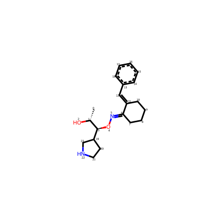 C[C@@H](O)[C@@H](O/N=C1\CCCC\C1=C/c1ccccc1)C1CCNC1